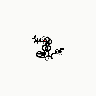 C=CC(=O)OCCC(=C)C(=O)OC1(C2CCC(C34CC5CC(C3)C(OC(=O)COC(=O)C(=C)C)(C3CCC(C)CC3)C(C5)C4)CC2)C2CC3CC(C2)CC1C3